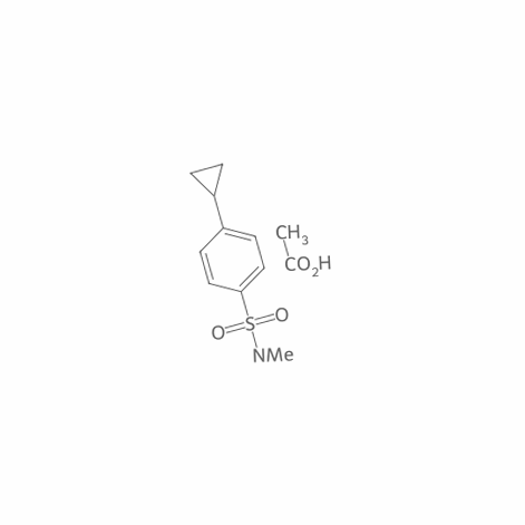 CC(=O)O.CNS(=O)(=O)c1ccc(C2CC2)cc1